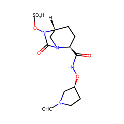 O=[C]N1CC[C@H](ONC(=O)[C@@H]2CC[C@@H]3CN2C(=O)N3OS(=O)(=O)O)C1